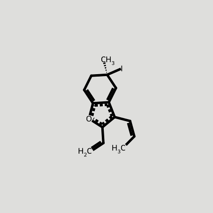 C=Cc1oc2c(c1/C=C\C)=C[C@](C)(I)CC=2